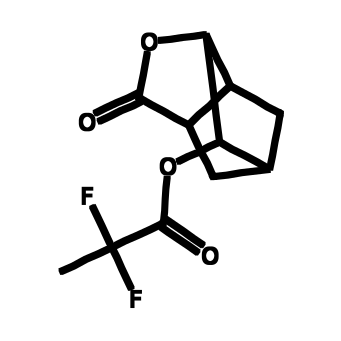 CC(F)(F)C(=O)OC1C2CC3C(=O)OC1C3C2